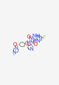 CN1CCN(C(=O)[C@H]2CC[C@@H](Oc3ccncc3NC(=O)C(C(N)N=O)C3NCC(F)CN3C)CC2)CC1